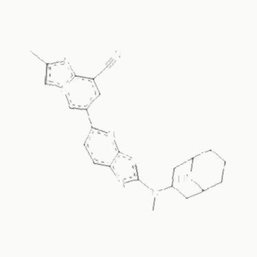 Cc1cn2cc(-c3ccc4nc(N(C)C5CC6CCCC(C5)N6)sc4n3)cc(C#N)c2n1